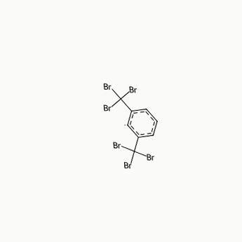 BrC(Br)(Br)c1[c]c(C(Br)(Br)Br)ccc1